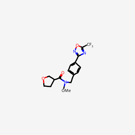 CON(Cc1ccc(-c2noc(C(F)(F)F)n2)cc1)C(=O)C1CCOC1